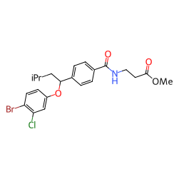 COC(=O)CCNC(=O)c1ccc(C(CC(C)C)Oc2ccc(Br)c(Cl)c2)cc1